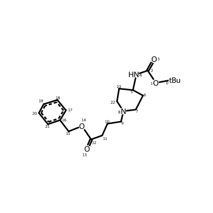 CC(C)(C)OC(=O)NC1CCN(CCCC(=O)OCc2ccccc2)CC1